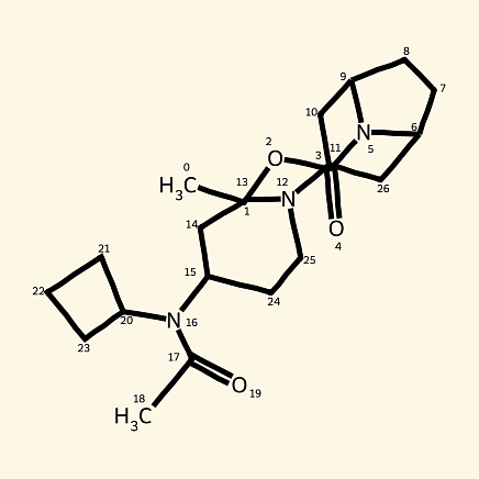 CCOC(=O)N1C2CCC1CC(N1CCC(N(C(C)=O)C3CCC3)CC1)C2